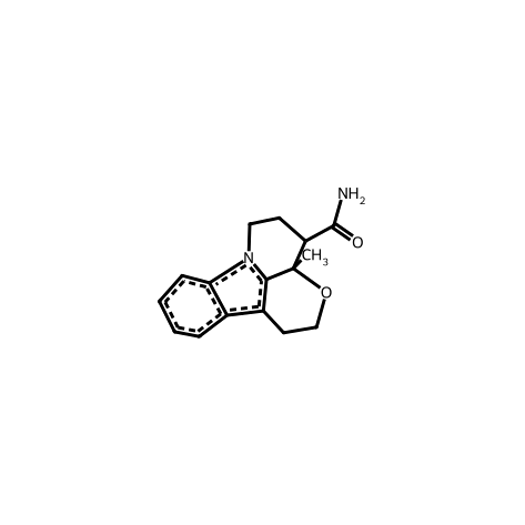 CC12OCCc3c1n(c1ccccc31)CCC2C(N)=O